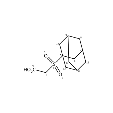 O=C(O)CS(=O)(=O)C12CC3CC(CC(C3)C1)C2